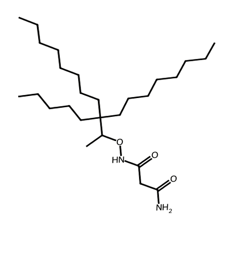 CCCCCCCCC(CCCCC)(CCCCCCCC)C(C)ONC(=O)CC(N)=O